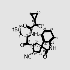 CC(C)(C)C[C@H](NC(=O)C(=O)C1CC1)C(=O)N1C[C@]2(C[C@H]1C#N)C(=O)Nc1ccccc12